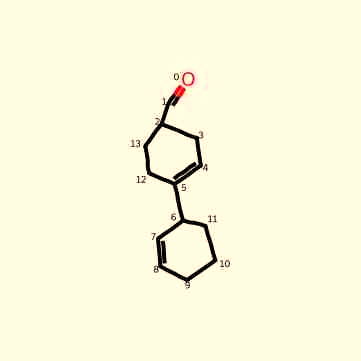 O=CC1CC=C(C2C=CCCC2)CC1